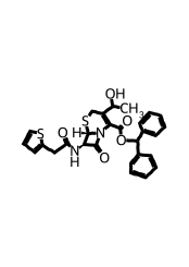 CC(O)C1=C(C(=O)OC(c2ccccc2)c2ccccc2)N2C(=O)[C@@H](NC(=O)Cc3cccs3)[C@@H]2SC1